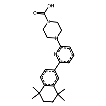 CC1(C)CCC(C)(C)c2cc(-c3cccc(N4CCN(C(=O)O)CC4)n3)ccc21